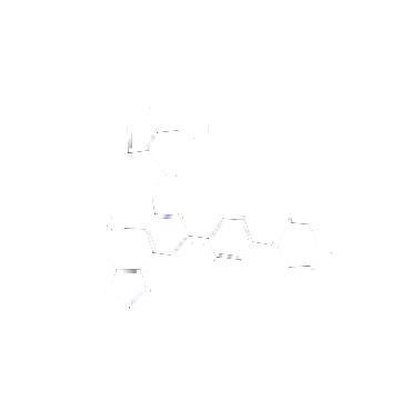 Cc1ocnc1-c1cc(-c2ccc(N3CCOCC3)cc2)nc(OCc2ccsc2C(=O)O)c1C#N